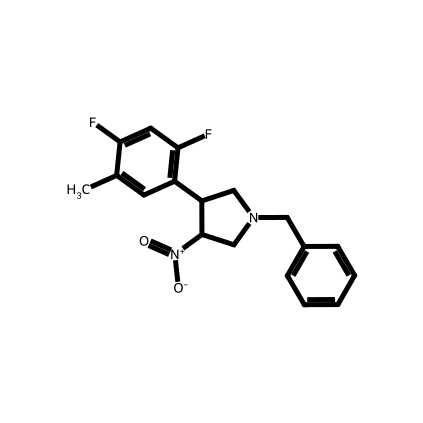 Cc1cc(C2CN(Cc3ccccc3)CC2[N+](=O)[O-])c(F)cc1F